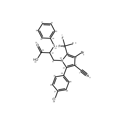 N#Cc1c(Br)c(C(F)(F)F)n(CC(Sc2ccccc2)C(=O)O)c1-c1ccc(Cl)cc1